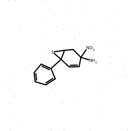 NC1([N+](=O)[O-])C=CC2(c3ccccc3)SC2C1